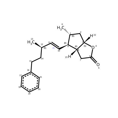 C[C@@H]1C[C@@H]2OC(=O)C[C@@H]2[C@H]1/C=C/[C@H](C)CCc1ccccc1